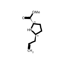 C=CC[C@@H]1CC[C@@H](C(=O)OC)N1